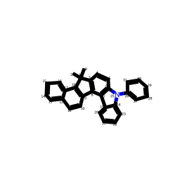 CC1(C)c2ccc3c(c2-c2ccc4ccccc4c21)c1ccccc1n3-c1ccccc1